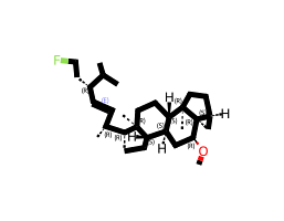 CO[C@@H]1C[C@H]2[C@@H]3CC[C@H]([C@H](C)/C=C/[C@H](CCF)C(C)C)[C@@]3(C)CC[C@@H]2[C@@]2(C)CC[C@H]3C[C@]312